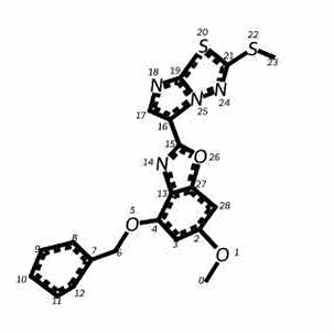 COc1cc(OCc2ccccc2)c2nc(-c3cnc4sc(SC)nn34)oc2c1